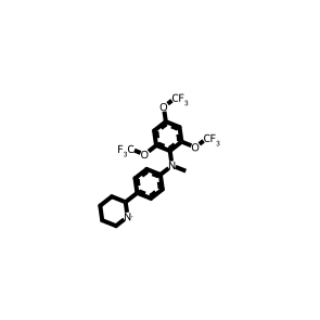 CN(c1ccc(C2CCCC[N]2)cc1)c1c(OC(F)(F)F)cc(OC(F)(F)F)cc1OC(F)(F)F